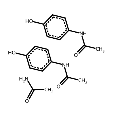 CC(=O)Nc1ccc(O)cc1.CC(=O)Nc1ccc(O)cc1.CC(N)=O